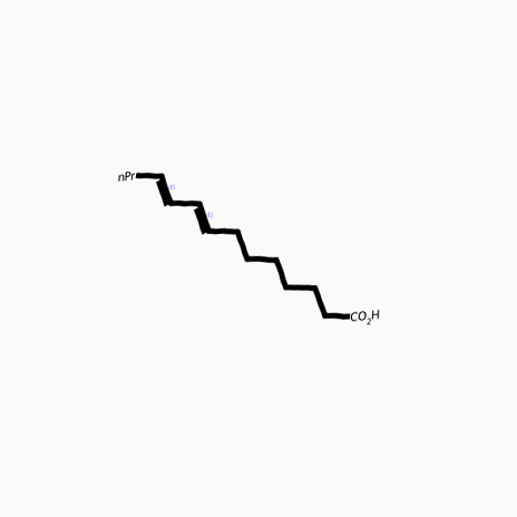 CCC/C=C/C=C/CCCCCCC(=O)O